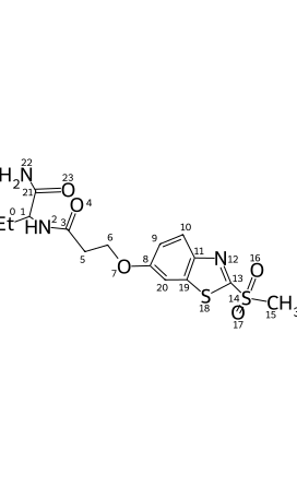 CCC(NC(=O)CCOc1ccc2nc(S(C)(=O)=O)sc2c1)C(N)=O